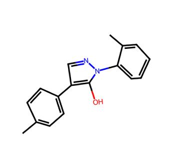 Cc1ccc(-c2cnn(-c3ccccc3C)c2O)cc1